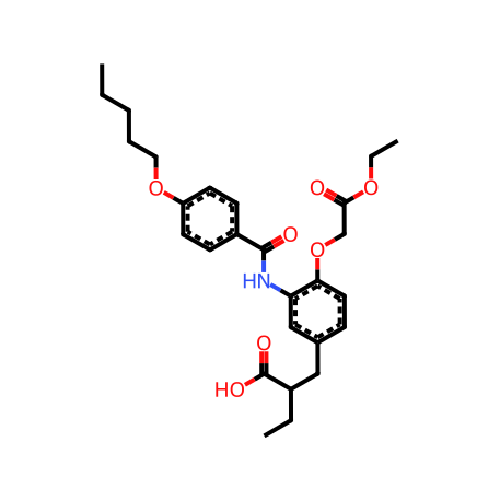 CCCCCOc1ccc(C(=O)Nc2cc(CC(CC)C(=O)O)ccc2OCC(=O)OCC)cc1